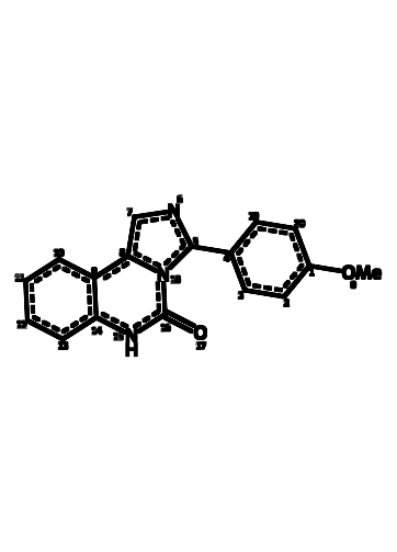 COc1ccc(-c2ncc3c4ccccc4[nH]c(=O)n23)cc1